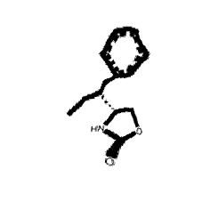 CCC(c1ccccc1)[C@@H]1COC(=O)N1